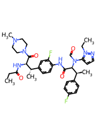 CCC(=O)N[C@@H](C(=O)N1CCN(C)CC1)[C@@H](C)c1ccc(NC(=O)[C@H]([C@@H](C)c2ccc(F)cc2)N(C=O)c2ccnn2CC)c(F)c1